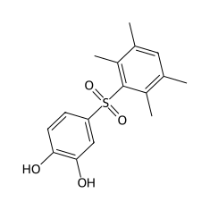 Cc1cc(C)c(C)c(S(=O)(=O)c2ccc(O)c(O)c2)c1C